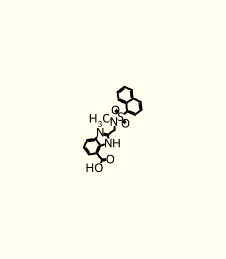 CN(Cc1nc2cccc(C(=O)O)c2[nH]1)S(=O)(=O)c1cccc2ccccc12